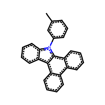 Cc1cccc(-n2c3ccccc3c3c4ccccc4c4ccccc4c32)c1